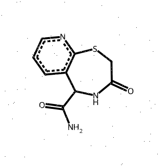 NC(=O)C1NC(=O)CSc2ncccc21